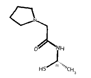 C[C@H](S)NC(=O)CN1CCCC1